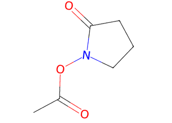 CC(=O)ON1CCCC1=O